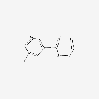 Cc1cncc(-c2[c]cccc2)c1